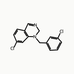 Clc1cccc(CN2CN=Cc3ccc(Cl)cc32)c1